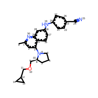 Cc1cc(N2CCC[C@H]2COCC2CC2)c2ccc(Nc3ccc(C#N)cc3)cc2n1